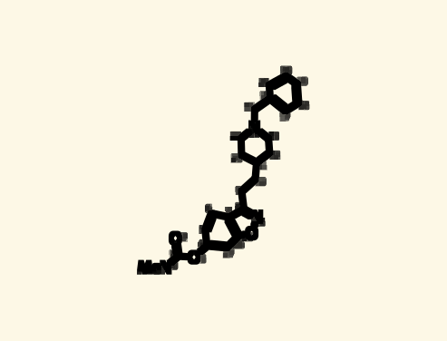 CNC(=O)Oc1ccc2c(CCC3CCN(Cc4ccccc4)CC3)noc2c1